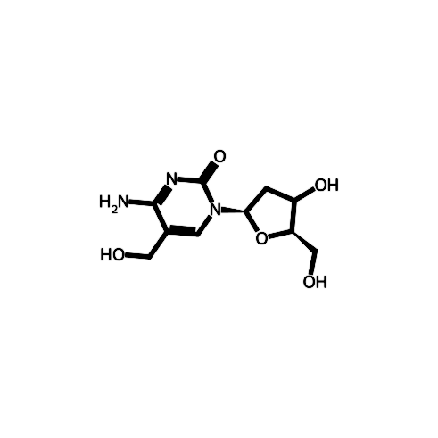 Nc1nc(=O)n([C@H]2CC(O)[C@@H](CO)O2)cc1CO